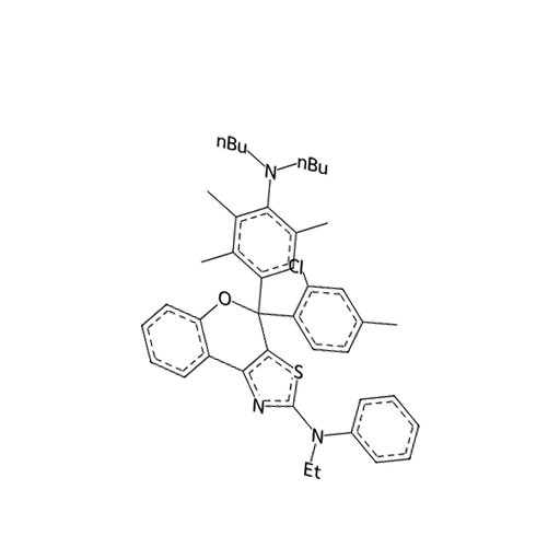 CCCCN(CCCC)c1c(C)cc(C2(c3ccc(C)cc3Cl)Oc3ccccc3-c3nc(N(CC)c4ccccc4)sc32)c(C)c1C